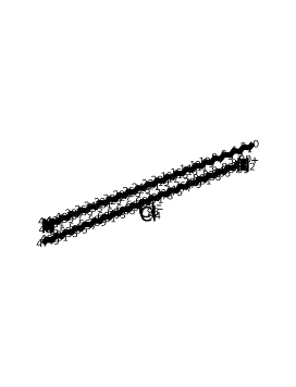 CCCCCCCCCCCCCCCCCCCCCCCCCCCCCCCCCCCCCCCCCCC[N+](C)(C)C.CCCCCCCCCCCCCCCCCCCCCCCCCCCCCCCCCCCCCCCCCC[N+](C)(C)C.[Cl-].[Cl-]